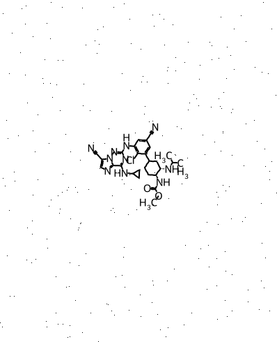 COC(=O)N[C@H]1CCC(c2cc(C#N)cc(Nc3nc(NC4CC4)c4ncc(C#N)n4n3)c2Cl)C[C@@H]1NC(C)C